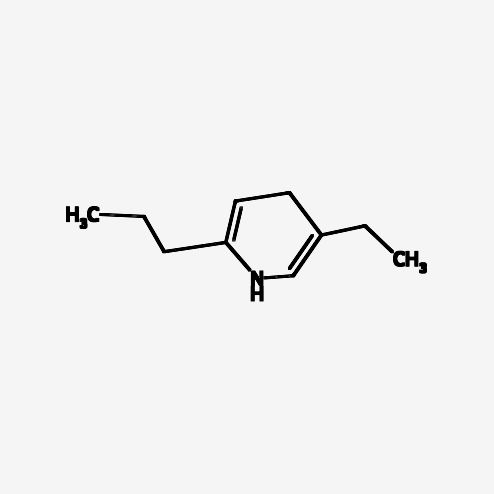 CCCC1=CCC(CC)=CN1